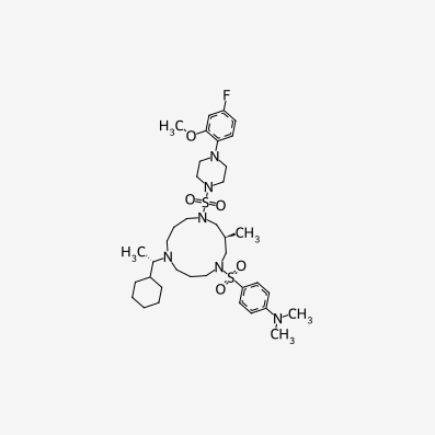 COc1cc(F)ccc1N1CCN(S(=O)(=O)N2CCCN([C@@H](C)C3CCCCC3)CCCN(S(=O)(=O)c3ccc(N(C)C)cc3)C[C@H](C)C2)CC1